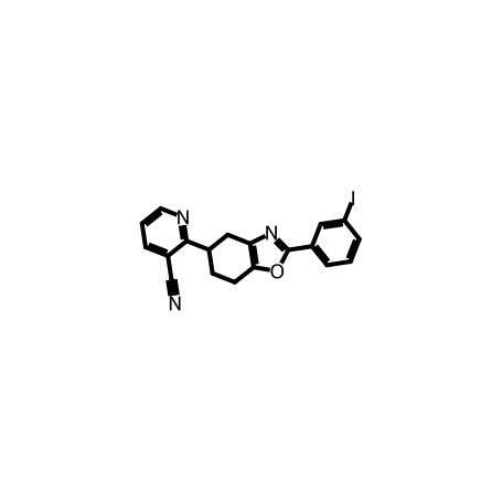 N#Cc1cccnc1C1CCc2oc(-c3cccc(I)c3)nc2C1